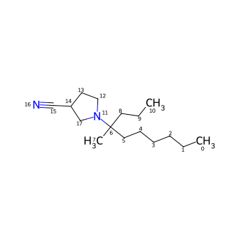 CCCCCCC(C)(CCC)N1CCC(C#N)C1